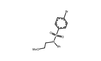 COCCN(C(C)C)S(=O)(=O)c1ccc(Br)cc1